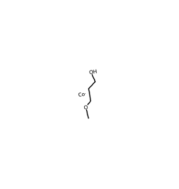 COCCCO.[Co]